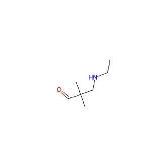 CCNCC(C)(C)C=O